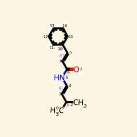 CC(C)/C=C/NC(=O)/C=C/c1ccccc1